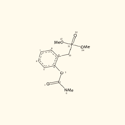 CNC(=O)Oc1ccccc1CP(=O)(OC)OC